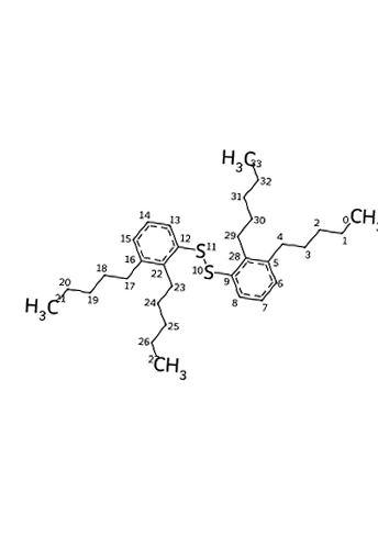 CCCCCc1cccc(SSc2cccc(CCCCC)c2CCCCC)c1CCCCC